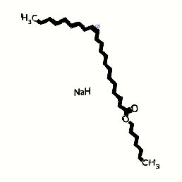 CCCCCCCC/C=C\CCCCCCCCCCCC(=O)OCCCCCCC.[NaH]